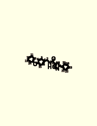 O=C(NCc1ccc(Oc2ccccc2)cc1)c1nc(-c2ccccc2)no1